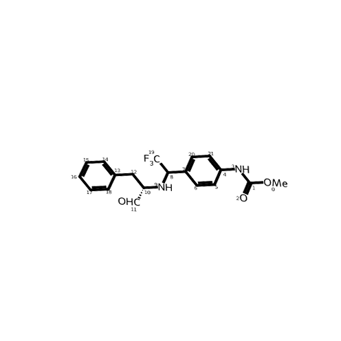 COC(=O)Nc1ccc(C(N[C@H](C=O)Cc2ccccc2)C(F)(F)F)cc1